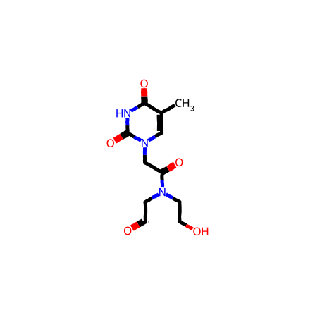 Cc1cn(CC(=O)N(C[C]=O)CCO)c(=O)[nH]c1=O